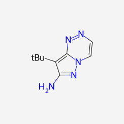 CC(C)(C)c1c(N)nn2ccnnc12